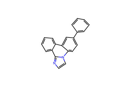 c1ccc(-c2ccc3c(c2)c2ccccc2c2nccn32)cc1